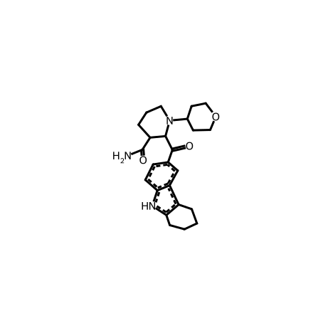 NC(=O)C1CCCN(C2CCOCC2)C1C(=O)c1ccc2[nH]c3c(c2c1)CCCC3